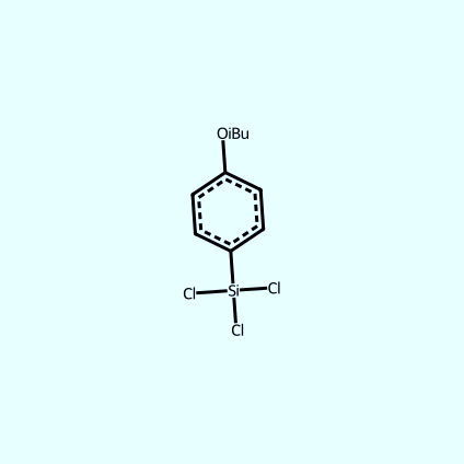 CC(C)COc1ccc([Si](Cl)(Cl)Cl)cc1